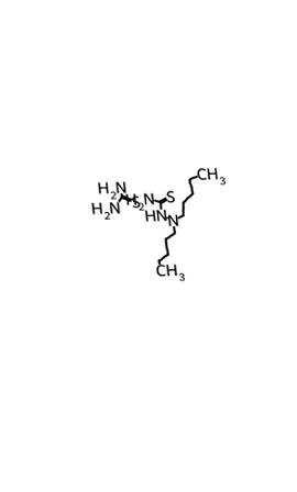 CCCCCN(CCCCC)NC(N)=S.NC(N)=S